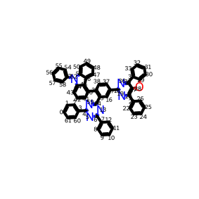 c1ccc(-c2nc(-c3ccccc3)nc(-c3cc(-c4nc(-c5ccccc5)c5oc6ccccc6c5n4)ccc3-c3cccc4c3c3ccccc3n4-c3ccccc3)n2)cc1